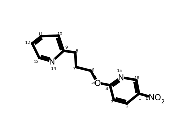 O=[N+]([O-])c1ccc(OCCCc2ccccn2)nc1